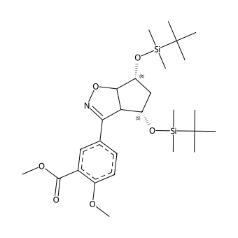 COC(=O)c1cc(C2=NOC3C2[C@@H](O[Si](C)(C)C(C)(C)C)C[C@H]3O[Si](C)(C)C(C)(C)C)ccc1OC